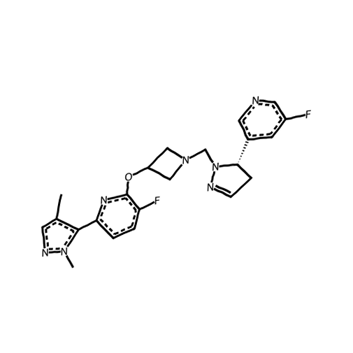 Cc1cnn(C)c1-c1ccc(F)c(OC2CN(CN3N=CC[C@H]3c3cncc(F)c3)C2)n1